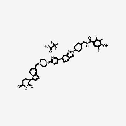 O=C(O)C(F)(F)F.O=C1CCN(c2cnc3cc(CN4CCN(c5ncc(-c6ccc7cn(C8CCC(CNC(=O)c9cc(F)c(O)c(F)c9F)CC8)nc7c6)cn5)CC4)ccn23)C(=O)N1